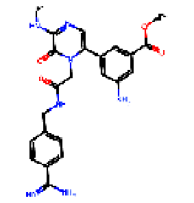 CC(C)Nc1ncc(-c2cc(N)cc(C(=O)OC(C)C)c2)n(CC(=O)NCc2ccc(C(=N)N)cc2)c1=O